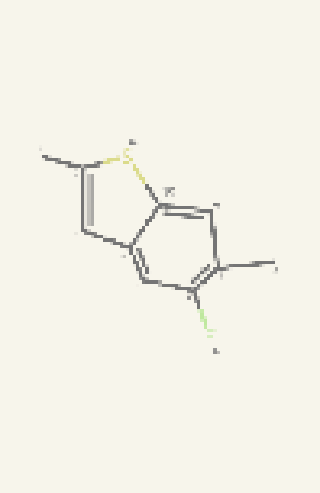 Cc1cc2cc(F)c(C)cc2s1